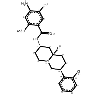 COc1cc(N)c(Cl)cc1C(=O)N[C@H]1CCN2C[C@H](c3ccccc3Cl)CC[C@H]2C1